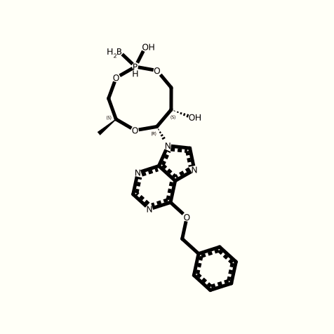 B[PH]1(O)OC[C@H](C)O[C@@H](n2cnc3c(OCc4ccccc4)ncnc32)[C@@H](O)CO1